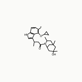 CC(CC(=O)N1C(C)CC2(C)CC1CC(C)(O)C2)c1c[nH]c2ccc(F)c(OC3CC3)c12